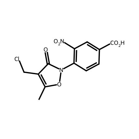 Cc1on(-c2ccc(C(=O)O)cc2[N+](=O)[O-])c(=O)c1CCl